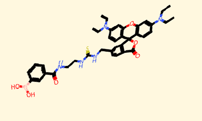 CCN(CC)c1ccc2c(c1)Oc1cc(N(CC)CC)ccc1C21OC(=O)c2ccc(CNC(=S)NCCNC(=O)c3cccc(B(O)O)c3)cc21